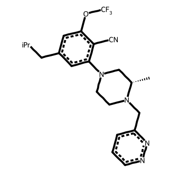 CC(C)Cc1cc(OC(F)(F)F)c(C#N)c(N2CCN(Cc3cccnn3)[C@@H](C)C2)c1